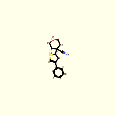 N#CC1(C2CC(c3ccccc3)=CS2)CCOCC1